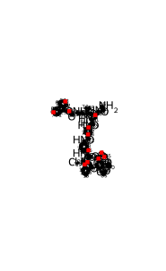 COC(=O)[C@H]1O[C@H](Oc2cc3c(c4ccccc24)[C@H](CCl)CN3C(=O)c2cc3cc(NC(=O)c4ccc(NC(=O)[C@H](CCCNC(N)=O)NC(=O)[C@@H](NCCNC(=O)OCC5c6ccccc6-c6ccccc65)C(C)C)cc4)ccc3[nH]2)[C@H](OC(C)=O)[C@@H](OC(C)=O)[C@@H]1OC(C)=O